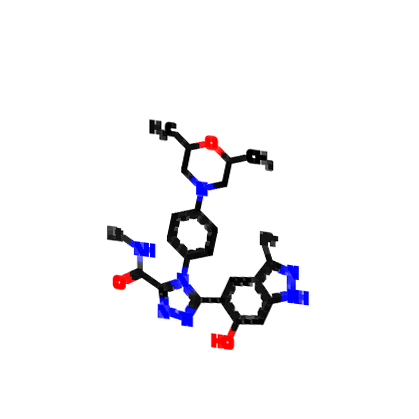 CCNC(=O)c1nnc(-c2cc3c(C(C)C)n[nH]c3cc2O)n1-c1ccc(N2CC(C)OC(C)C2)cc1